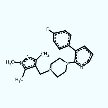 Cc1nn(C)c(C)c1CN1CCN(c2ncccc2-c2ccc(F)cc2)CC1